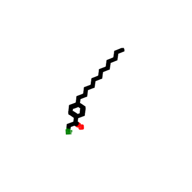 CCCCCCCCCCCCc1ccc(C(=O)CBr)cc1